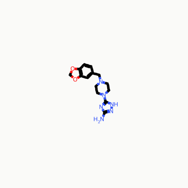 Nc1n[nH]c(N2CCN(Cc3ccc4c(c3)OCO4)CC2)n1